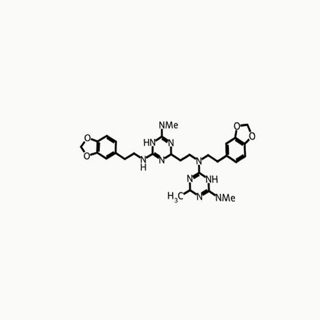 CNC1=NC(CCN(CCc2ccc3c(c2)OCO3)C2=NC(C)N=C(NC)N2)N=C(NCCc2ccc3c(c2)OCO3)N1